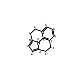 c1cc2c3c(c1)CCc1ccc(n1-3)CC2